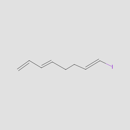 C=CC=CCCC=CI